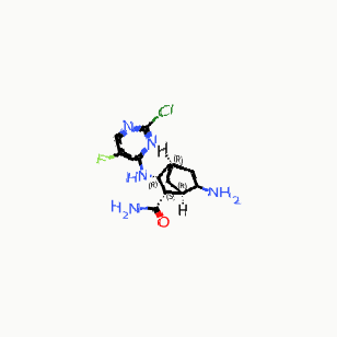 NC(=O)[C@@H]1[C@H](Nc2nc(Cl)ncc2F)[C@H]2CC(N)[C@@H]1C2